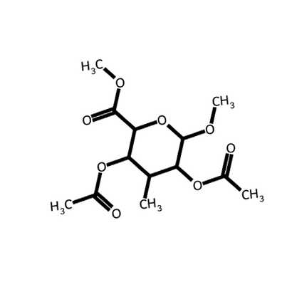 COC(=O)C1OC(OC)C(OC(C)=O)C(C)C1OC(C)=O